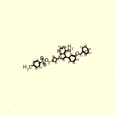 Cc1ccc(S(=O)(=O)OC[C@H]2C[C@H](n3cc(-c4cccc(OCC56CCC(CC5)O6)c4)c4c(N)ncnc43)C2)cc1